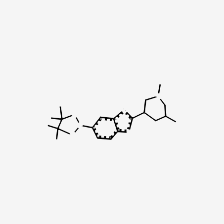 CC1CC(c2nc3cc(B4OC(C)(C)C(C)(C)O4)ccc3s2)CN(C)C1